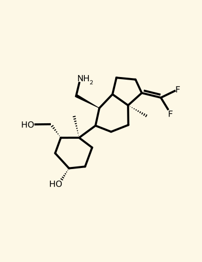 C[C@]12CCC([C@@]3(C)CC[C@H](O)C[C@@H]3CO)[C@@H](CN)C1CCC2=C(F)F